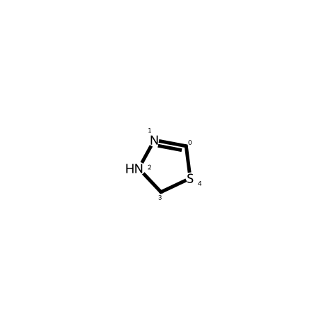 C1=NNCS1